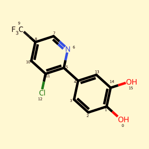 Oc1ccc(-c2ncc(C(F)(F)F)cc2Cl)cc1O